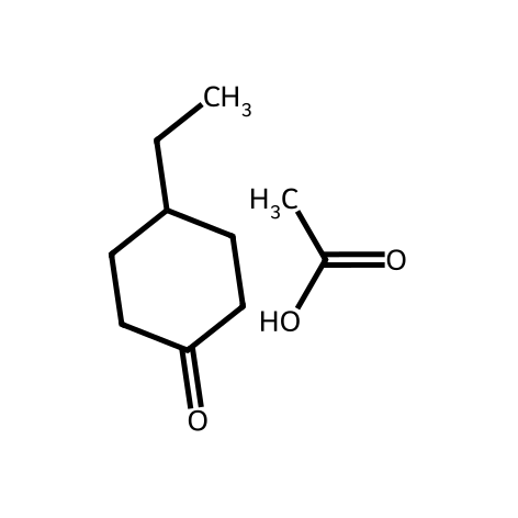 CC(=O)O.CCC1CCC(=O)CC1